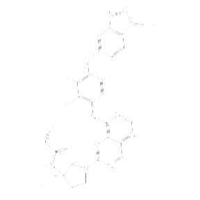 C=CC(=O)N[C@]1(C)CCN(c2ncc3ncnc(Nc4ccc(Oc5ccc6c(c5)nnn6C)c(C)c4F)c3n2)C1